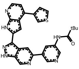 CC(C)(C)C(=O)Nc1cncc(-c2cc3c(-c4cc5c(-c6ccsc6)ccnc5[nH]4)n[nH]c3cn2)c1